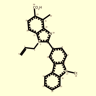 C=CCn1c(-c2ccc3c(c2)c2ccccc2n3CC)nc2c(C)c(C(=O)O)ccc21